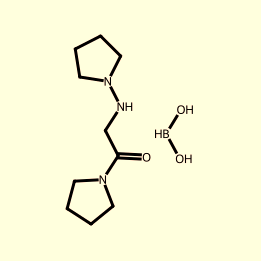 O=C(CNN1CCCC1)N1CCCC1.OBO